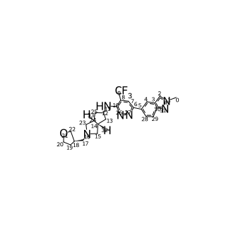 Cn1cc2cc(-c3cc(C(F)(F)F)c(N[C@H]4C[C@@H]5CN(C[C@H]6CCOC6)C[C@@H]5C4)nn3)ccc2n1